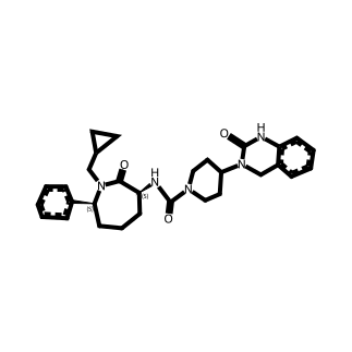 O=C(N[C@H]1CCC[C@@H](c2ccccc2)N(CC2CC2)C1=O)N1CCC(N2Cc3ccccc3NC2=O)CC1